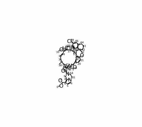 COC(=O)c1ccn2c1CN(C(=O)N[S@@]1(=O)=NC(=O)c3ccc4c(c3)N(C[C@@H]3CC[C@H]3[C@@H](OC)/C=C/C[C@H](C)C1)C[C@@]1(CCCc3cc(Cl)ccc31)CO4)CC2